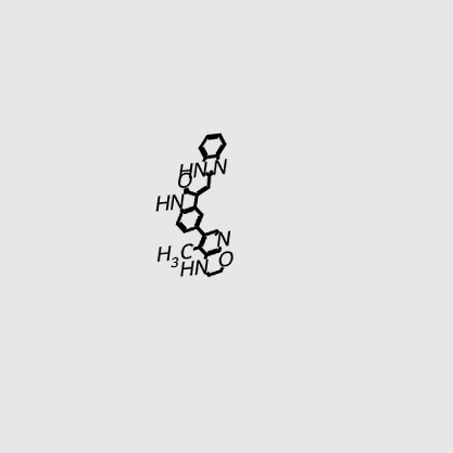 Cc1c(-c2ccc3c(c2)C(=Cc2nc4ccccc4[nH]2)C(=O)N3)cnc2c1NCCO2